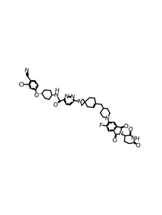 N#Cc1ccc(O[C@H]2CC[C@H](NC(=O)c3ccc(N4CC5(CC=C(CC6CCN(c7cc8c(cc7F)C(=O)N(C7CCC(=O)NC7=O)C8=O)CC6)CC5)C4)nn3)CC2)cc1Cl